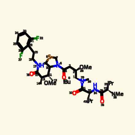 CC[C@H](C)[C@@H]([C@@H](CC(=O)N1CSCC1[C@H](OC)[C@@H](C)C(=O)NCCc1c(F)cccc1F)OC)N(C)C(=O)[C@@H](NC(=O)[C@@H](NC)C(C)C)C(C)C